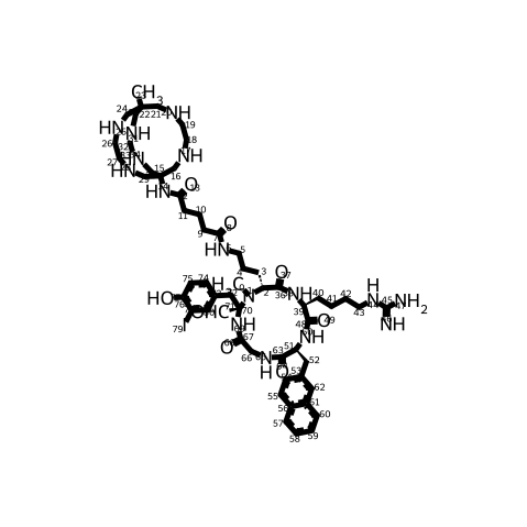 CN1[C@H](CCCNC(=O)CCCC(=O)NC23CNCCNCC(C)(CNCCNC2)CNCCNC3)C(=O)N[C@@H](CCCCNC(=N)N)C(=O)N[C@@H](Cc2ccc3ccccc3c2)C(=O)NCC(=O)N[C@]1(C=O)Cc1ccc(O)c(I)c1